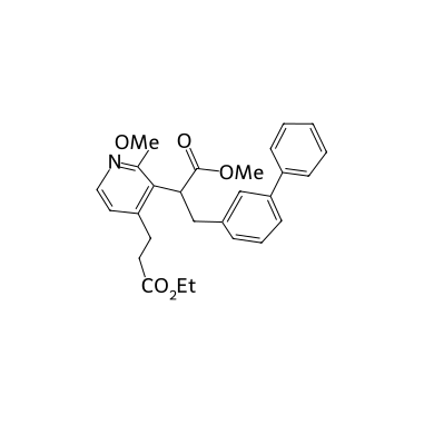 CCOC(=O)CCc1ccnc(OC)c1C(Cc1cccc(-c2ccccc2)c1)C(=O)OC